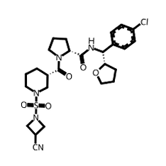 N#CC1CN(S(=O)(=O)N2CCC[C@H](C(=O)N3CCC[C@@H]3C(=O)NC(c3ccc(Cl)cc3)[C@@H]3CCCO3)C2)C1